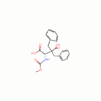 COC(=O)N[C@H](C(=O)O)C(Cc1ccccc1)(Cc1ccccc1)C(=O)O